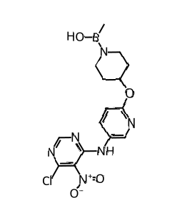 CB(O)N1CCC(Oc2ccc(Nc3ncnc(Cl)c3[N+](=O)[O-])cn2)CC1